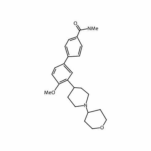 CNC(=O)c1ccc(-c2ccc(OC)c(C3CCN(C4CCOCC4)CC3)c2)cc1